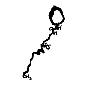 CCCCCCCCCCCC[S+]([O-])CCCNC(=O)NN1CCCCCCCCCCCC1